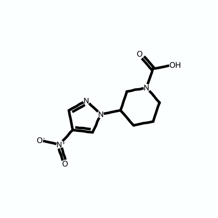 O=C(O)N1CCCC(n2cc([N+](=O)[O-])cn2)C1